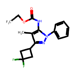 Cc1c(C2CC(F)(F)C2)nn(-c2ccccc2)c1NC(=O)OCC(F)(F)F